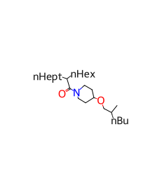 CCCCCCCC(CCCCCC)C(=O)N1CCC(OCC(C)CCCC)CC1